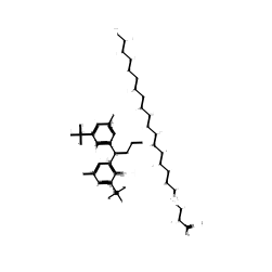 CCCC(c1cc(C)cc(C(C)(C)C)c1O)c1cc(C)cc(C(C)(C)C)c1O.CCCCCCCCCCCCCCCCCCSCCC(=O)O